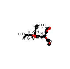 CCCCCCCCCCCCCCC(CC(=O)NCCCNC(=O)C(C)(CC(C)C(=O)NCCCNC(=O)C(C)CC(=O)O)CC(CSCCNC(=O)c1cc(OCc2ccc(C(=O)c3ccccc3)cc2)cc(OCc2ccc(C(=O)c3ccccc3)cc2)c1)C(N)=O)C(=O)O